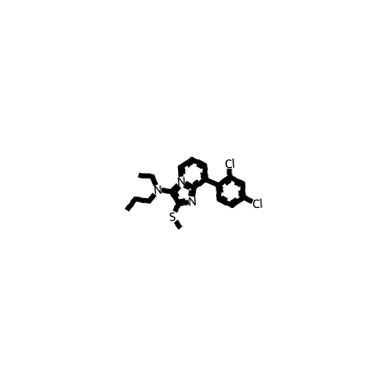 CCCN(CC)c1c(SC)nc2c(-c3ccc(Cl)cc3Cl)cccn12